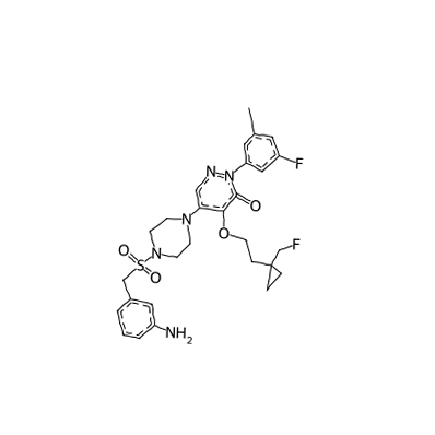 Cc1cc(F)cc(-n2ncc(N3CCN(S(=O)(=O)Cc4cccc(N)c4)CC3)c(OCCC3(CF)CC3)c2=O)c1